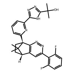 CC(C)(O)c1nnc(-c2cccc([C@@]34CC[C@@H](c5cc(-c6c(F)cccc6F)nnc53)C4(C)C)n2)[nH]1